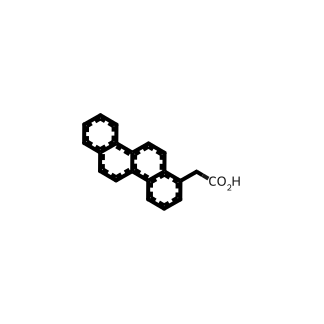 O=C(O)Cc1cccc2c1ccc1c3ccccc3ccc21